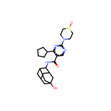 O=C(NC1C2CC3CC1CC(O)(C3)C2)c1cnc(N2CC[S+]([O-])CC2)nc1C1CCCC1